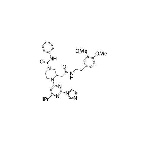 COc1ccc(CCNC(=O)CC2CN(C(=O)Nc3ccccc3)CCN2c2cc(C(C)C)nc(-n3ccnc3)n2)cc1OC